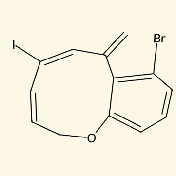 C=C1/C=C(I)\C=C/COc2cccc(Br)c21